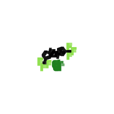 C[C]1([Zr+2][C]2(C)C=CC(C(F)(F)F)=C2)C=CC(C(F)(F)F)=C1.[Cl-].[Cl-]